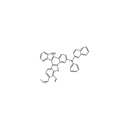 C=Cc1c(/C=C\C)ccc2c1sc1c3cc(N(c4ccccc4)c4ccc5ccccc5c4)ccc3c3[nH]c4ccccc4c3c21